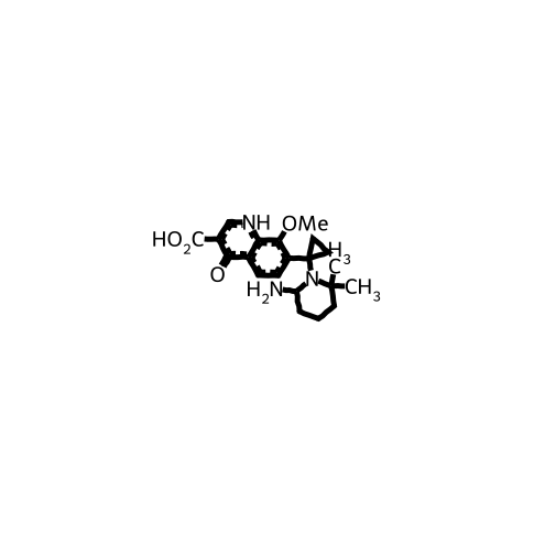 COc1c(C2(N3C(N)CCCC3(C)C)CC2)ccc2c(=O)c(C(=O)O)c[nH]c12